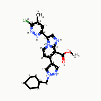 COC(=O)c1c(-c2cnn(CC3CCCCC3)c2)ccn2c(-c3cc(C)c(Cl)nn3)cnc12